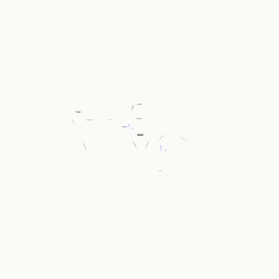 C1=CC2=CC(C3CCC(N(C4=CCCC=C4)c4ccc(C5CCCCC5N5C6=C(CCCC6)C6C=CCCC65)cc4)CC3)C3CCC=CC3C2C=C1